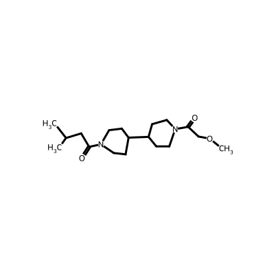 COCC(=O)N1CCC(C2CCN(C(=O)CC(C)C)CC2)CC1